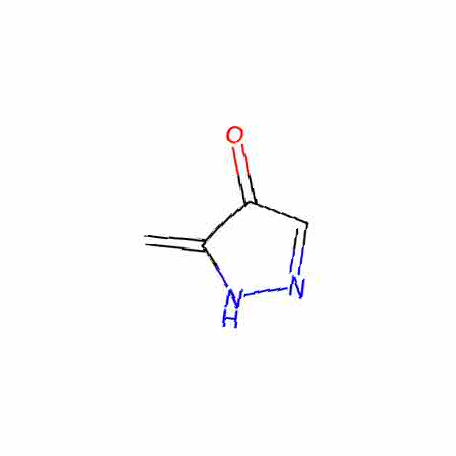 C=C1NN=CC1=O